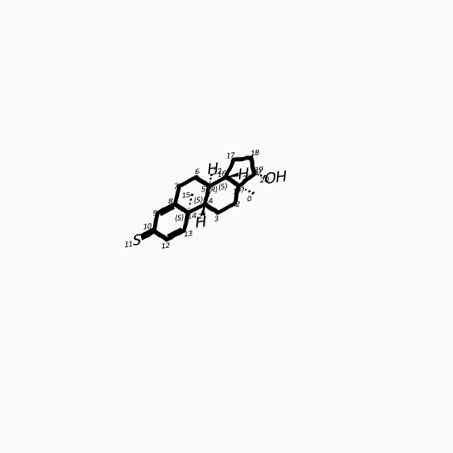 C[C@]12CC[C@H]3[C@@H](CCC4=CC(=S)C=C[C@@]43C)[C@@H]1CC[C@@H]2O